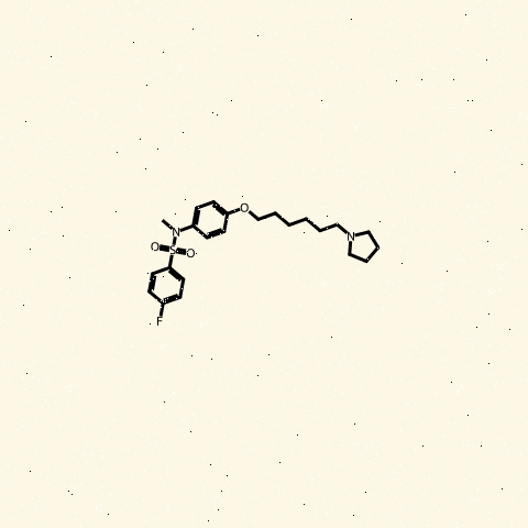 CN(c1ccc(OCCCCCCN2CCCC2)cc1)S(=O)(=O)c1ccc(F)cc1